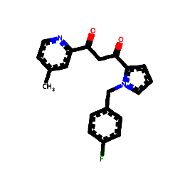 Cc1ccnc(C(=O)CC(=O)c2cccn2Cc2ccc(F)cc2)c1